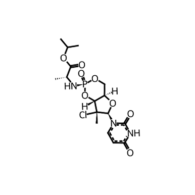 CC(C)OC(=O)[C@@H](C)N[P@@]1(=O)OC[C@H]2O[C@@H](n3ccc(=O)[nH]c3=O)[C@](C)(Cl)[C@@H]2O1